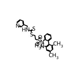 Cc1cc(C)c(-c2ccccc2NS(=O)(=O)CCSC(=S)NCc2cccnc2)c(C)c1